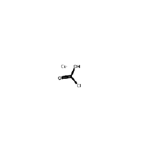 O=C(O)Cl.[Cu]